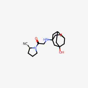 N#C[C@@H]1CCCN1C(=O)CNC12CCC3CC(CC(O)(C3)C1)C2